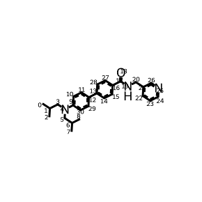 CC(C)CN(CC(C)C)c1ccc(-c2ccc(C(=O)NCc3cccnc3)cc2)cc1